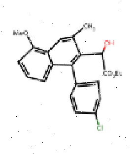 CCOC(=O)C(O)c1c(C)cc2c(OC)cccc2c1-c1ccc(Cl)cc1